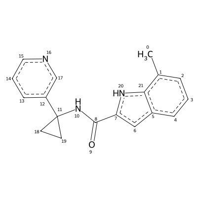 Cc1cccc2cc(C(=O)NC3(c4cccnc4)CC3)[nH]c12